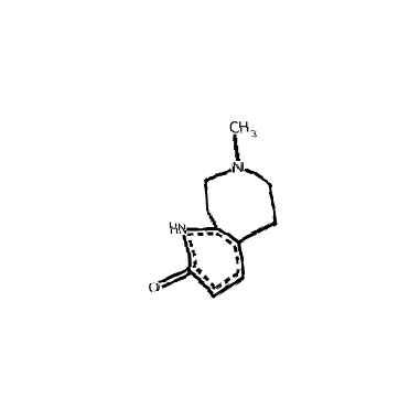 CN1CCc2ccc(=O)[nH]c2C1